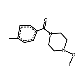 Cc1ccc(C(=O)N2CCN(OI)CC2)cc1